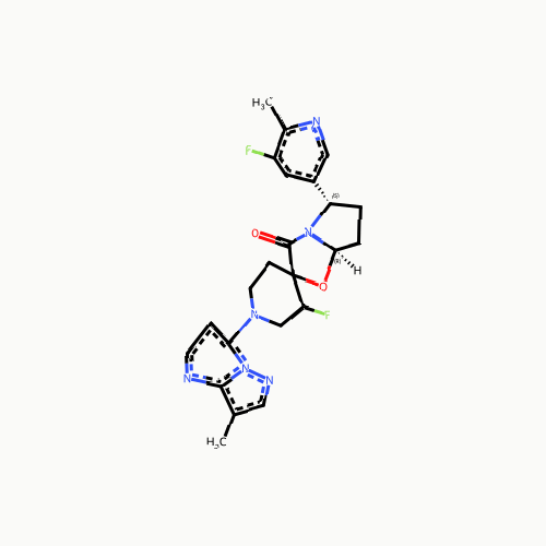 Cc1ncc([C@@H]2CC[C@H]3OC4(CCN(c5ccnc6c(C)cnn56)CC4F)C(=O)N32)cc1F